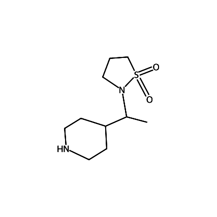 CC(C1CCNCC1)N1CCCS1(=O)=O